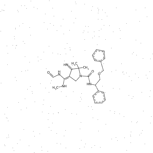 CN/C(NC=O)=C1\CN(C(=O)NC(COCc2ccccc2)c2ccccc2)C(C)(C)C1=N